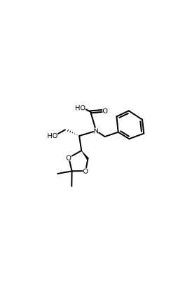 CC1(C)OC[C@H]([C@H](CO)N(Cc2ccccc2)C(=O)O)O1